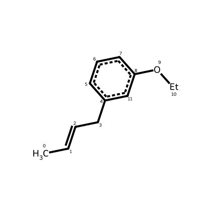 CC=CCc1cccc(OCC)c1